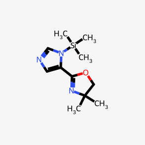 CC1(C)COC(c2cncn2[Si](C)(C)C)=N1